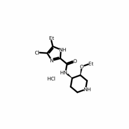 CCO[C@H]1CNCC[C@H]1NC(=O)c1nc(Cl)c(CC)[nH]1.Cl